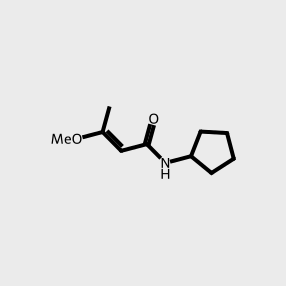 COC(C)=CC(=O)NC1CCCC1